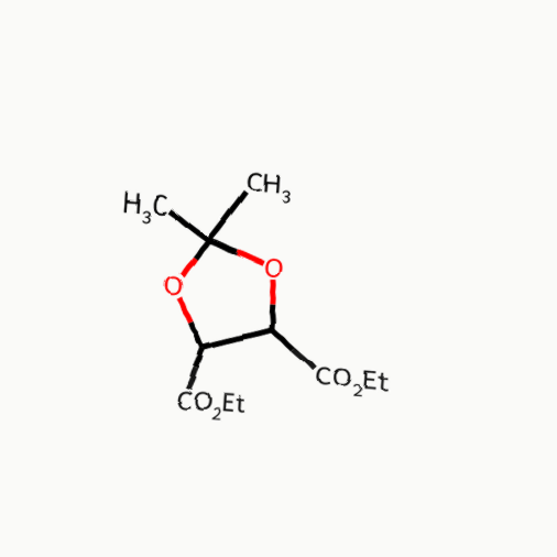 CCOC(=O)C1OC(C)(C)OC1C(=O)OCC